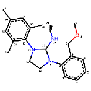 COCc1ccccc1N1CCN(c2c(C)cc(C)cc2C)C1[NH][Hf]